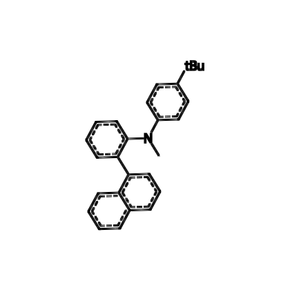 CN(c1ccc(C(C)(C)C)cc1)c1ccccc1-c1cccc2ccccc12